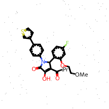 COCCOc1cc(F)ccc1C1C(C(=O)C(C)C)=C(O)C(=O)N1c1ccc(-c2ccsc2)cc1